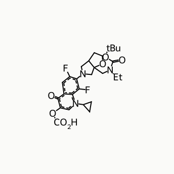 CCN(CC12CN(c3c(F)cc4c(=O)c(OC(=O)O)cn(C5CC5)c4c3F)CC1CCO2)C(=O)OC(C)(C)C